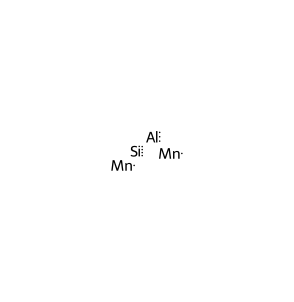 [Al].[Mn].[Mn].[Si]